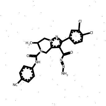 CC1Cn2nc(-c3ccc(Cl)c(Cl)c3)c(C(=O)N=NN)c2CN1C(=O)Nc1ccc(C#N)cc1